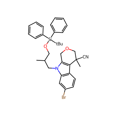 CC(CO[Si](c1ccccc1)(c1ccccc1)C(C)(C)C)Cn1c2c(c3ccc(Br)cc31)C(C)(C#N)COC2